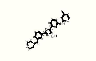 Cc1ccnc(Nc2cccc(-c3cnc(-c4cccc(CN5CCOCC5)c4)o3)n2)c1.Cl